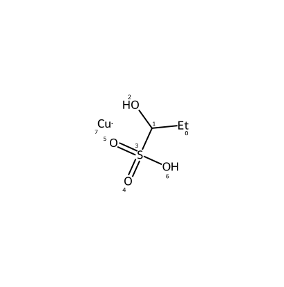 CCC(O)S(=O)(=O)O.[Cu]